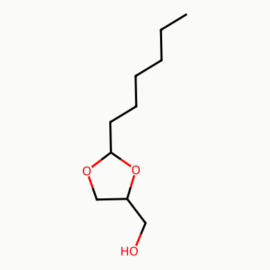 CCCCCCC1OCC(CO)O1